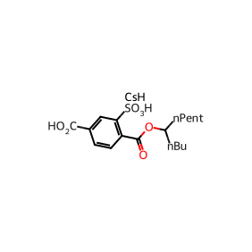 CCCCCC(CCCC)OC(=O)c1ccc(C(=O)O)cc1S(=O)(=O)O.[CsH]